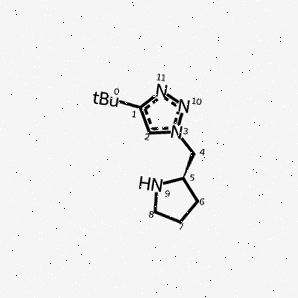 CC(C)(C)c1cn(C[C@H]2CCCN2)nn1